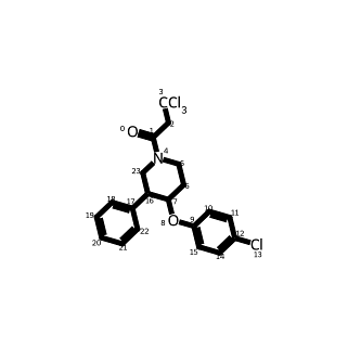 O=C(CC(Cl)(Cl)Cl)N1CCC(Oc2ccc(Cl)cc2)C(c2ccccc2)C1